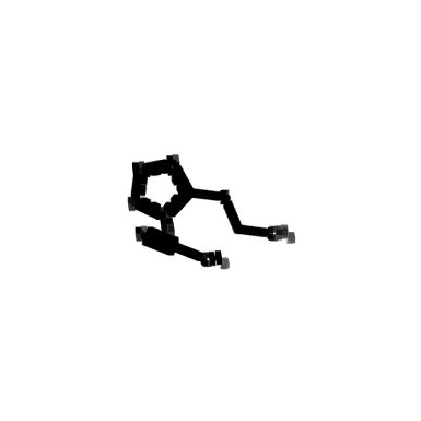 CC#N.CCSc1nnn[nH]1